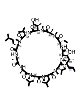 C/C=C/C[C@@H](C)[C@@H](O)[C@H]1C(=O)N[C@@H](CC)C(=O)N(C)[C@H](C)C(=O)N(C)[C@@H]([C@H](C)CO)C(=O)N[C@@H](C(C)C)C(=O)N(C)[C@@H](CCC(C)C)C(=O)N[C@@H](C)C(=O)N[C@H](C)C(=O)N(C)[C@@H](CC(C)C)C(=O)N(C)C(CC(C)C)C(=O)N(C)[C@@H](C(C)C)C(=O)N1C